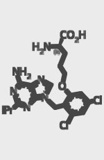 CC(C)c1nc(N)c2ncn(Cc3c(Cl)cc(Cl)cc3OCCC[C@@H](N)C(=O)O)c2n1